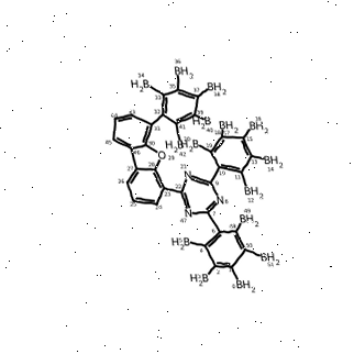 Bc1c(B)c(B)c(-c2nc(-c3c(B)c(B)c(B)c(B)c3B)nc(-c3cccc4c3oc3c(-c5c(B)c(B)c(B)c(B)c5B)cccc34)n2)c(B)c1B